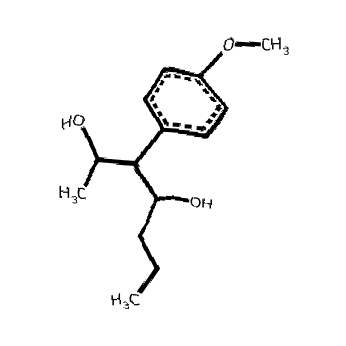 CCCC(O)C(c1ccc(OC)cc1)C(C)O